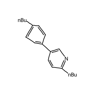 CCCCc1ccc(-c2ccc(CCCC)nc2)cc1